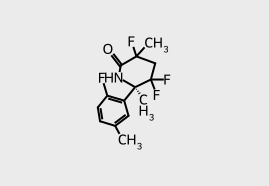 Cc1ccc(F)c([C@@]2(C)NC(=O)C(C)(F)CC2(F)F)c1